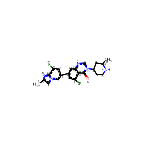 Cc1cn2cc(-c3cc(F)c4c(=O)n(C5CCNC(C)C5)cnc4c3)cc(F)c2n1